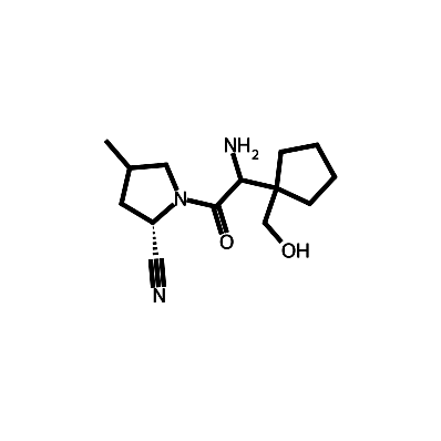 CC1C[C@@H](C#N)N(C(=O)C(N)C2(CO)CCCC2)C1